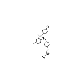 COc1ccc(-c2c(C)c3cc(C)ccc3n2Cc2ccc(CCNC3CC3)cc2)cc1